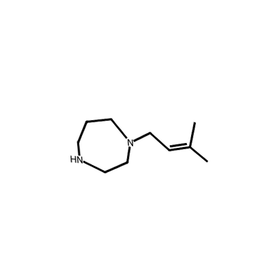 CC(C)=CCN1CCCNCC1